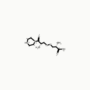 N[C@@H](CSSC[C@H](N)C(=O)N1CCNCC1)C(=O)O